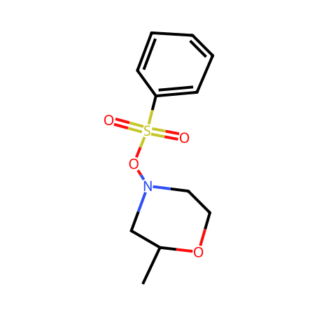 CC1CN(OS(=O)(=O)c2ccccc2)CCO1